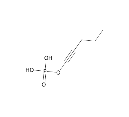 CCCC#COP(=O)(O)O